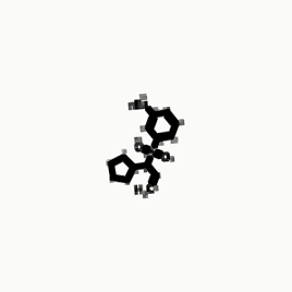 C=CC(C1CCCC1)S(=O)(=O)c1cccc(CCCC)c1